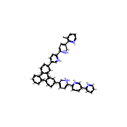 Cc1cccnc1C1=CC=C(c2ccc(-c3ccc4c5ccccc5c5ccc(C6=CC=C(c7ccc(-c8ccccn8)cn7)NC6)cc5c4c3)cn2)NC1